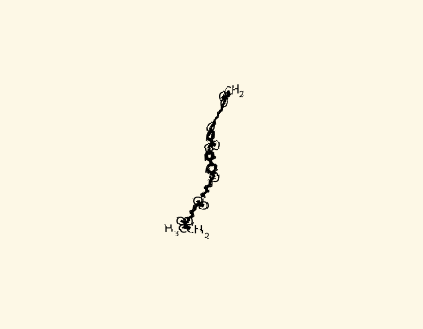 C=CC(=O)OCCCCCCOc1ccc(C(=O)Oc2ccc(C3CCC(OCCCCCCOC(=O)CCCCCOC(=O)C(=C)C)CC3)cc2)cc1